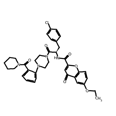 CCOc1ccc2oc(C(=O)N[C@H](Cc3ccc(Cl)cc3)C(=O)N3CCN(c4ccccc4C(=O)N4CCCCC4)CC3)cc(=O)c2c1